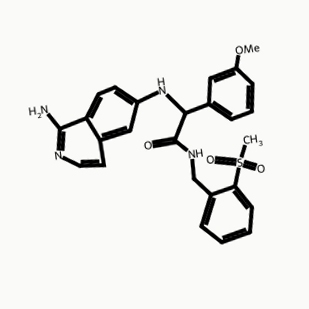 COc1cccc(C(Nc2ccc3c(N)nccc3c2)C(=O)NCc2ccccc2S(C)(=O)=O)c1